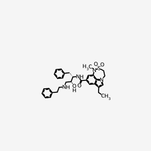 CCc1cn2c3c(cc(C(=O)N[C@@H](Cc4ccccc4)[C@H](O)CNCCc4ccccc4)cc13)N(C)S(=O)(=O)CC2